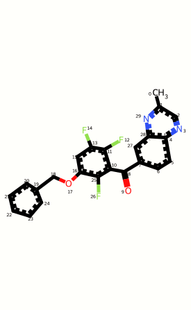 Cc1cnc2ccc(C(=O)c3c(F)c(F)cc(OCc4ccccc4)c3F)cc2n1